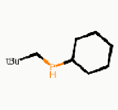 CC(C)(C)CPC1CCCCC1